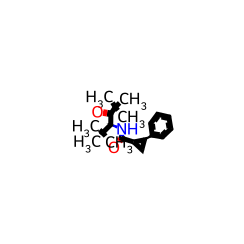 CC(C)(C)C(=O)[C@@H](NC(=O)C1C[C@@H]1c1ccccc1)C(C)(C)C